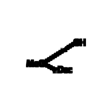 CCCCCCCCCCCCCCCCCC[C@H](C)[C@H](CCCCCCCCCCCCCCCC[C@H](C)[C@H]1C[C@@H]1CCCCCCCCCO)OC